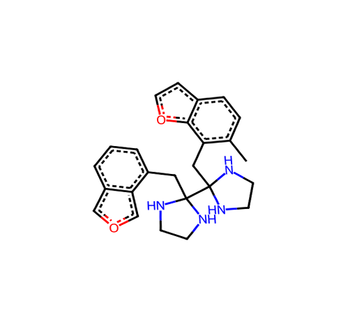 Cc1ccc2ccoc2c1CC1(C2(Cc3cccc4cocc34)NCCN2)NCCN1